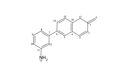 C=C1C=Cc2cc(-c3cccc(N)c3)ccc2C1